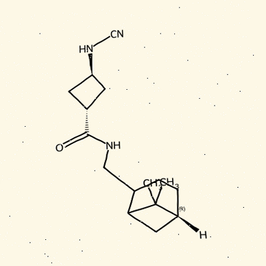 CC1(C)C2C[C@H]1CCC2CNC(=O)[C@H]1C[C@H](NC#N)C1